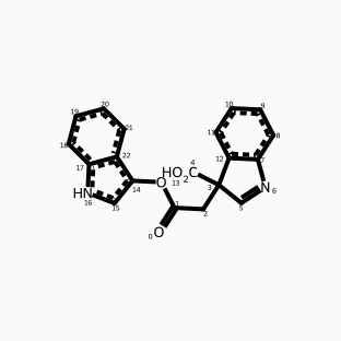 O=C(CC1(C(=O)O)C=Nc2ccccc21)Oc1c[nH]c2ccccc12